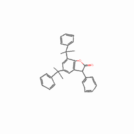 CC(C)(c1ccccc1)c1cc2c(c(C(C)(C)c3ccccc3)c1)OC(=O)C2c1ccccc1